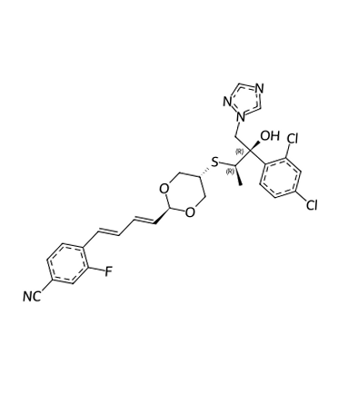 C[C@@H](S[C@H]1CO[C@H](C=CC=Cc2ccc(C#N)cc2F)OC1)[C@](O)(Cn1cncn1)c1ccc(Cl)cc1Cl